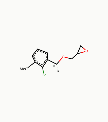 COc1cccc([C@@H](C)OCC2CO2)c1Br